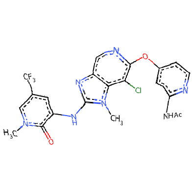 CC(=O)Nc1cc(Oc2ncc3nc(Nc4cc(C(F)(F)F)cn(C)c4=O)n(C)c3c2Cl)ccn1